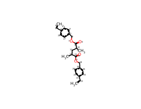 C=Cc1ccc(COC(=O)C(C)CC(C)C(=O)OCc2ccc(C=C)cc2)cc1